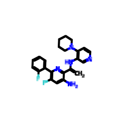 C=C(Nc1cnccc1N1CCCCC1)c1nc(-c2ccccc2F)c(F)cc1N